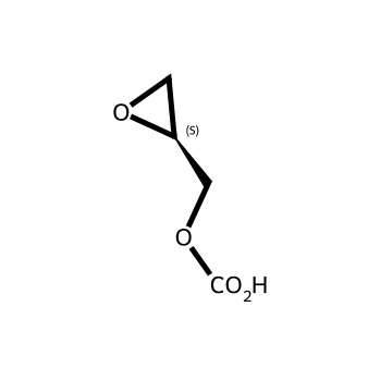 O=C(O)OC[C@@H]1CO1